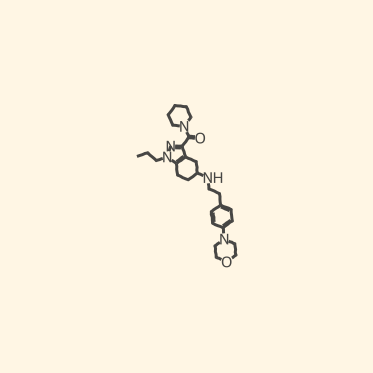 CCCn1nc(C(=O)N2CCCCC2)c2c1CCC(NCCc1ccc(N3CCOCC3)cc1)C2